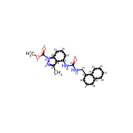 COC(=O)n1nc(C)c2c(NC(=O)NCc3cccc4ccccc34)cccc21